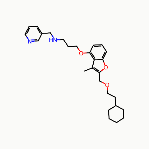 Cc1c(COCCC2CCCCC2)oc2cccc(OCCCNCc3cccnc3)c12